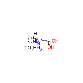 NC1(C(=O)O)C2CC[C@@H](N2)[C@@H]1CCCB(O)O